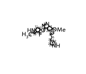 COc1cc2ncnc(Oc3ccc4[nH]c(C)cc4c3F)c2cc1OCCCN1CCNCC1